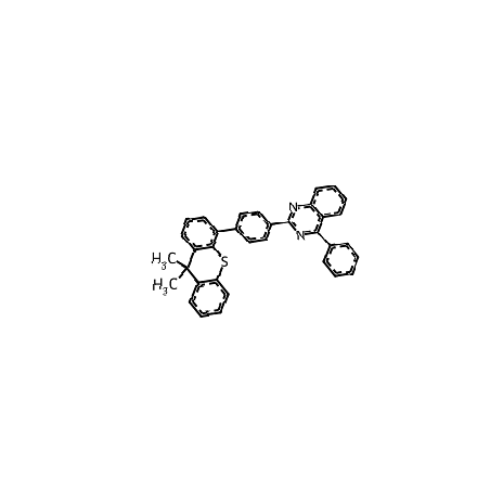 CC1(C)c2ccccc2Sc2c(-c3ccc(-c4nc(-c5ccccc5)c5ccccc5n4)cc3)cccc21